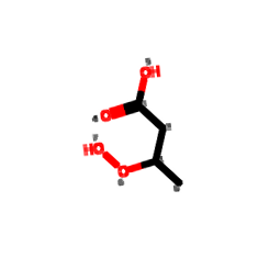 CC(CC(=O)O)OO